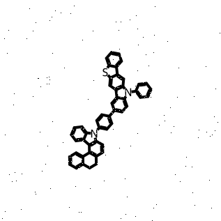 c1ccc(-n2c3ccc(-c4ccc(-n5c6ccccc6c6c7c(ccc65)CCc5ccccc5-7)cc4)cc3c3cc4sc5ccccc5c4cc32)cc1